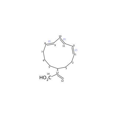 C1=C\CCCCCC/C=C/C=C/1.C=CC(=O)O